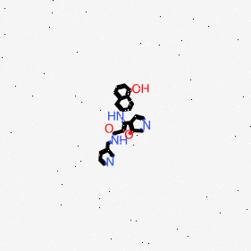 O=C(NCc1cccnc1)c1oc2cnccc2c1Nc1ccc2c(O)cccc2c1